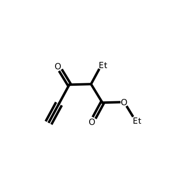 C#CC(=O)C(CC)C(=O)OCC